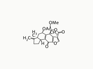 C=C1CC[C@H]2C3=C([C@H](OC(C)=O)C[C@]12C)[C@]1(C)c2c(coc2C3=O)C(=O)O[C@@H]1COC